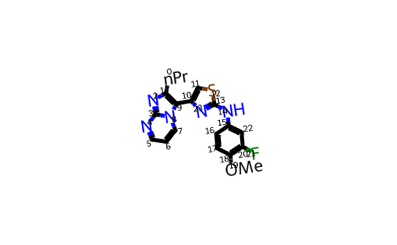 CCCc1nc2ncccn2c1-c1csc(Nc2ccc(OC)c(F)c2)n1